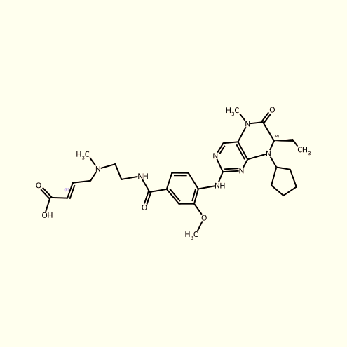 CC[C@@H]1C(=O)N(C)c2cnc(Nc3ccc(C(=O)NCCN(C)C/C=C/C(=O)O)cc3OC)nc2N1C1CCCC1